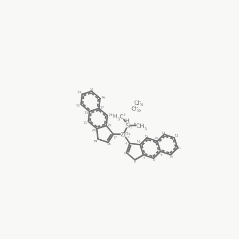 C[SiH](C)[Zr+2]([C]1=CCc2cc3ccccc3cc21)[C]1=CCc2cc3ccccc3cc21.[Cl-].[Cl-]